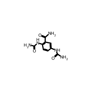 NC(=O)Nc1ccc(NC(N)=O)c(C(N)=O)c1